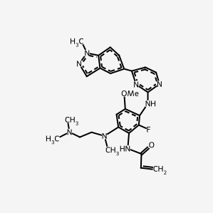 C=CC(=O)Nc1c(N(C)CCN(C)C)cc(OC)c(Nc2nccc(-c3ccc4c(cnn4C)c3)n2)c1F